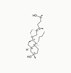 CCCC[C@H]1[C@H]([C@@H]2CC[C@H]([C@H](C)CC[C@H](C)O)C2)CC[C@@H]2C[C@@](C)(O)CC[C@@]21C